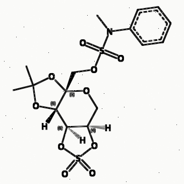 CN(c1ccccc1)S(=O)(=O)OC[C@@]12OC[C@H]3OS(=O)(=O)O[C@H]3[C@@H]1OC(C)(C)O2